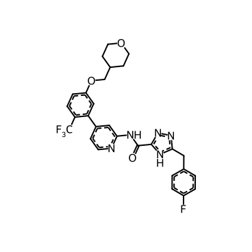 O=C(Nc1cc(-c2cc(OCC3CCOCC3)ccc2C(F)(F)F)ccn1)c1nnc(Cc2ccc(F)cc2)[nH]1